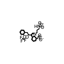 CS(=O)(=O)NCCCn1cc(C(=O)Cc2ccccc2OC(F)(F)F)c2cccc([N+](=O)[O-])c21